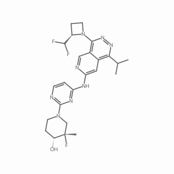 CC(C)c1nnc(N2CC[C@@H]2C(F)F)c2cnc(Nc3ccnc(N4CC[C@@H](O)[C@@](C)(F)C4)n3)cc12